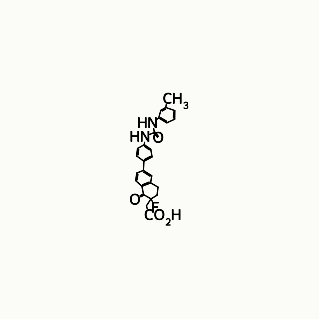 Cc1cccc(NC(=O)Nc2ccc(-c3ccc4c(c3)CCC(F)(CC(=O)O)C4=O)cc2)c1